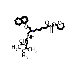 CC(C)N(CCNC/C(=C/CCCCC(=O)NOC1CCCCO1)COc1cccc2ccccc12)C(C)C